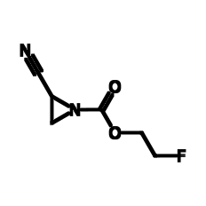 N#CC1CN1C(=O)OCCF